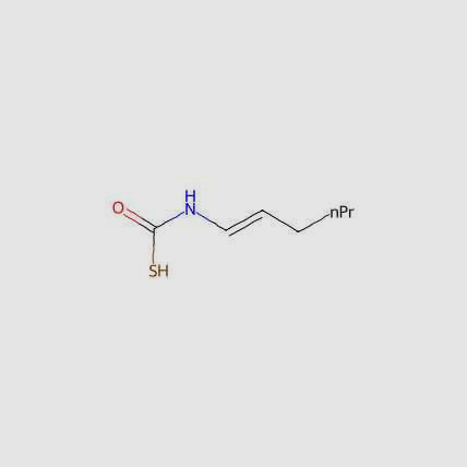 CCCCC=CNC(=O)S